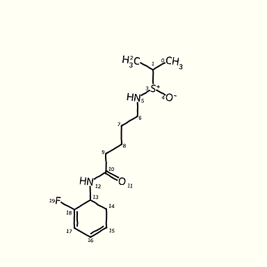 CC(C)[S+]([O-])NCCCCC(=O)NC1CC=CC=C1F